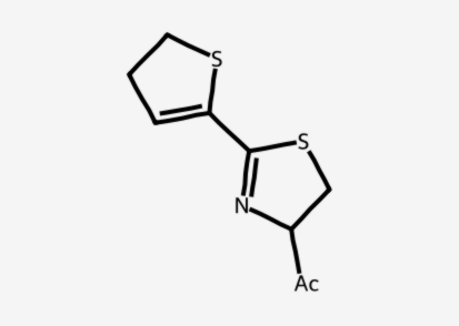 CC(=O)C1CSC(C2=CCCS2)=N1